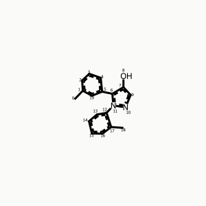 Cc1cccc(-c2c(O)cnn2-c2ccccc2C)c1